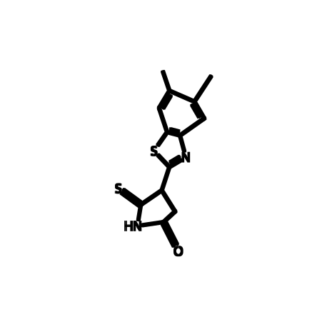 Cc1cc2nc(C3CC(=O)NC3=S)sc2cc1C